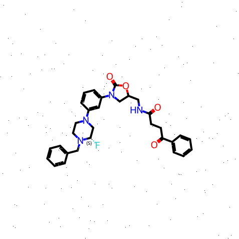 O=C(CCC(=O)c1ccccc1)NCC1CN(c2cccc(N3CCN(Cc4ccccc4)[C@@H](F)C3)c2)C(=O)O1